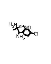 CCCCCC(C)(N)C(N)c1ccc(Cl)cc1